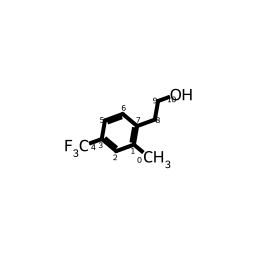 Cc1cc(C(F)(F)F)ccc1CCO